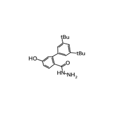 CC(C)(C)c1cc(-c2cc(O)ccc2C(=O)NN)cc(C(C)(C)C)c1